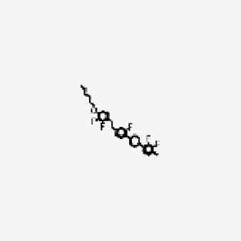 CCCCCCOc1ccc(CCc2ccc(C3=CCC(c4ccc(C)c(F)c4F)CC3)c(F)c2)c(F)c1F